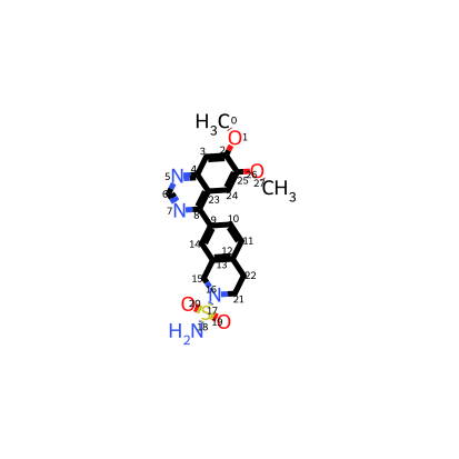 COc1cc2ncnc(-c3ccc4c(c3)CN(S(N)(=O)=O)CC4)c2cc1OC